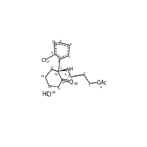 CC(=O)OCCCN[C@]1(c2ccccc2Cl)CCCCC1=O.Cl